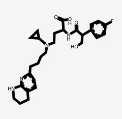 O=C(O)C(CCN(CCCCc1ccc2c(n1)NCCC2)C1CC1)NC(=O)C(CO)c1ccc(F)cc1